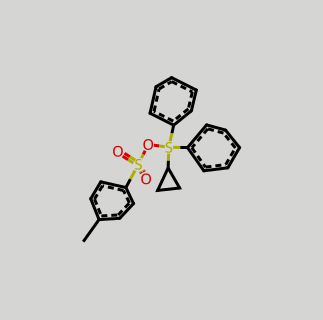 Cc1ccc(S(=O)(=O)OS(c2ccccc2)(c2ccccc2)C2CC2)cc1